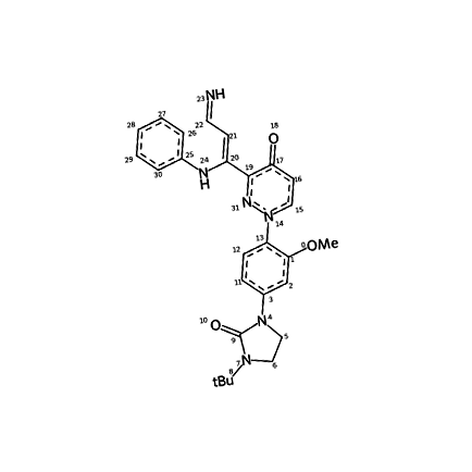 COc1cc(N2CCN(C(C)(C)C)C2=O)ccc1-n1ccc(=O)c(/C(=C/C=N)Nc2ccccc2)n1